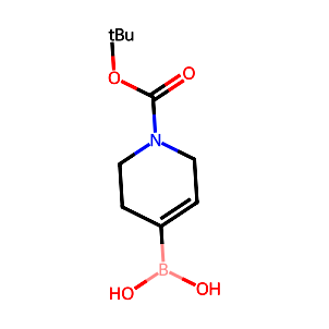 CC(C)(C)OC(=O)N1CC=C(B(O)O)CC1